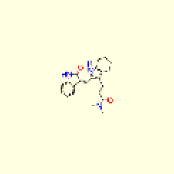 CN(C)C(=O)CCc1c(/C=C2\C(=O)Nc3ccccc32)[nH]c2c1CCCC2